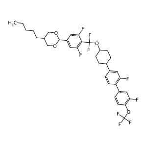 CCCCCC1COC(c2cc(F)c(C(F)(F)OC3CCC(c4ccc(-c5ccc(OC(F)(F)F)c(F)c5)c(F)c4)CC3)c(F)c2)OC1